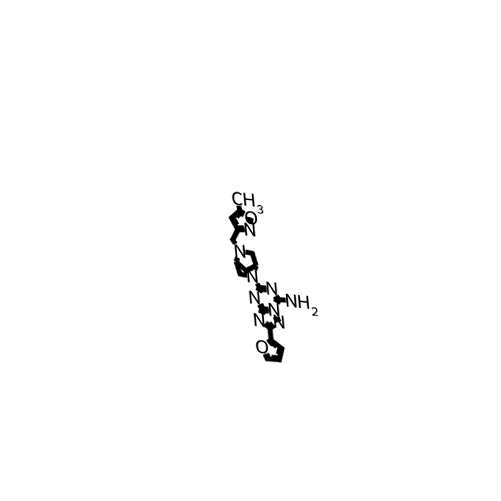 Cc1cc(CN2CC3CC2CN3c2nc(N)n3nc(-c4ccco4)nc3n2)no1